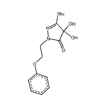 CC(C)(C)C1=NN(CCOc2ccccc2)C(=O)C1(O)O